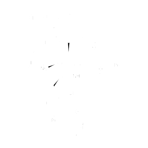 CCC(CC)(C[C@@H]1N[C@@H](C(=O)OC(C)(C)C)[C@H](c2cccc(Cl)c2F)[C@@]1(C#N)c1ccc(Cl)cc1F)C(O[SiH](C)C)C(C)(C)C